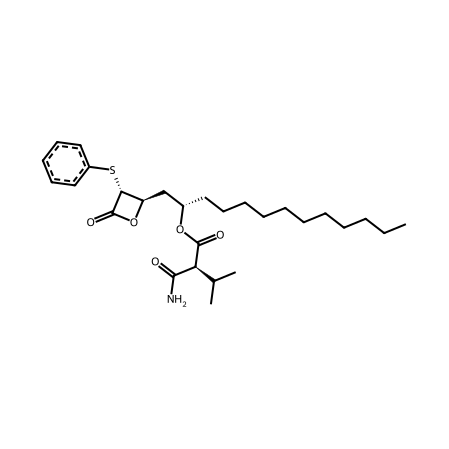 CCCCCCCCCCC[C@@H](C[C@H]1OC(=O)[C@@H]1Sc1ccccc1)OC(=O)[C@H](C(N)=O)C(C)C